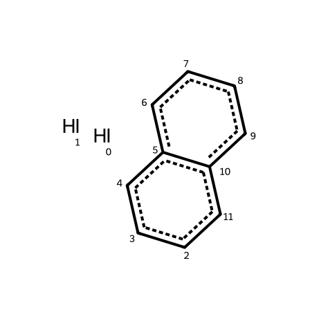 I.I.c1ccc2ccccc2c1